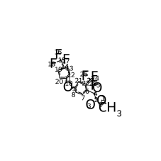 COC(=O)C(=O)c1ccc(Oc2ccc(C(F)(F)F)cc2)cc1C(F)(F)F